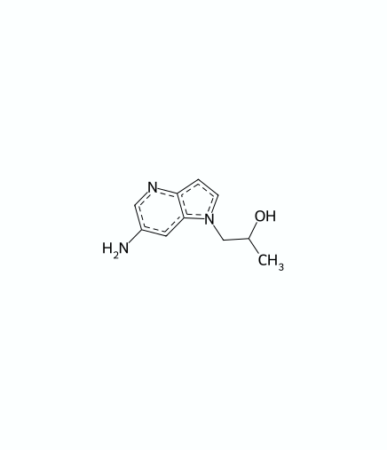 CC(O)Cn1ccc2ncc(N)cc21